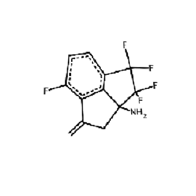 C=C1CC2(N)c3c(ccc(F)c31)C(F)(F)C2(F)F